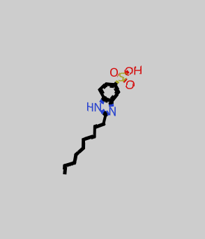 CCCCCCCCCc1nc2cc(S(=O)(=O)O)ccc2[nH]1